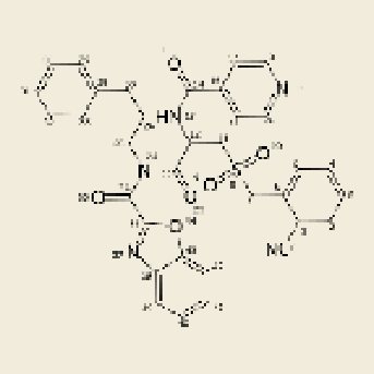 N#Cc1ccccc1CS(=O)(=O)CC(NC(=O)c1ccncc1)C(=O)N(CCCc1ccccc1)C(=O)c1nc2ccccc2o1